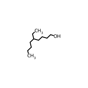 CCCCC(CC)CCCCO